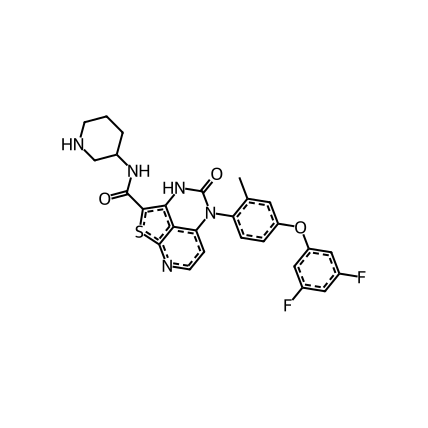 Cc1cc(Oc2cc(F)cc(F)c2)ccc1N1C(=O)Nc2c(C(=O)NC3CCCNC3)sc3nccc1c23